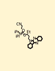 [C-]#[N+]CCOP(O[C@H](CC)CCn1c2ccccc2c2nc3ccccc3nc21)N(C(C)C)C(C)C